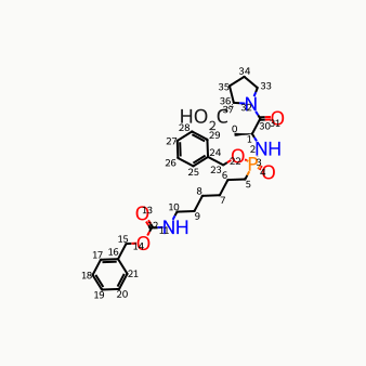 C[C@H](NP(=O)(CCCCCCNC(=O)OCc1ccccc1)OCc1ccccc1)C(=O)N1CCC[C@H]1C(=O)O